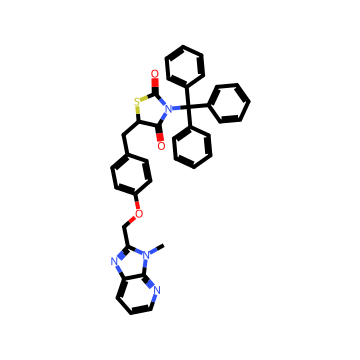 Cn1c(COc2ccc(CC3SC(=O)N(C(c4ccccc4)(c4ccccc4)c4ccccc4)C3=O)cc2)nc2cccnc21